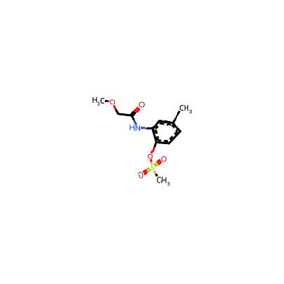 COCC(=O)Nc1cc(C)ccc1OS(C)(=O)=O